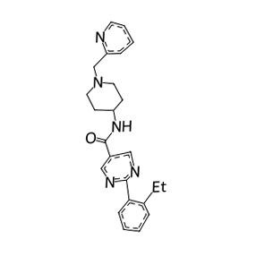 CCc1ccccc1-c1ncc(C(=O)NC2CCN(Cc3ccccn3)CC2)cn1